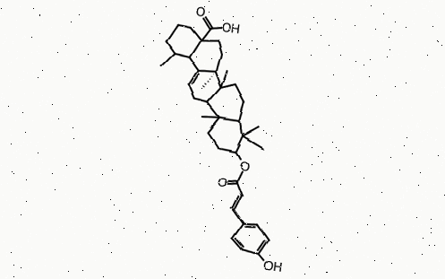 CC1CCCC2(C(=O)O)CC[C@]3(C)C(=CCC4C5(C)CCC(OC(=O)/C=C/c6ccc(O)cc6)C(C)(C)C5CCC43C)C12